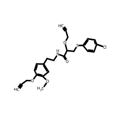 C#CCOc1ccc(CCNC(=O)C(CSc2ccc(Cl)cc2)OCC#C)cc1OC